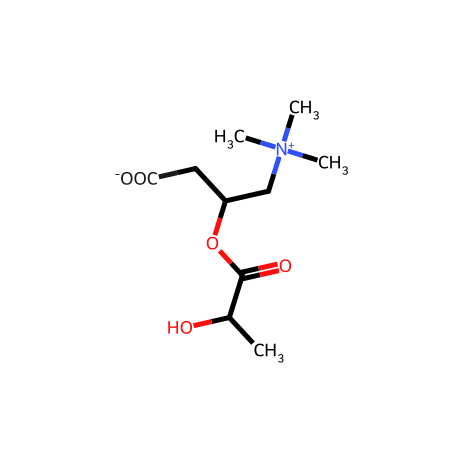 CC(O)C(=O)OC(CC(=O)[O-])C[N+](C)(C)C